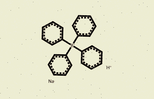 [H+].[Na].c1ccc([B-](c2ccccc2)(c2ccccc2)c2ccccc2)cc1